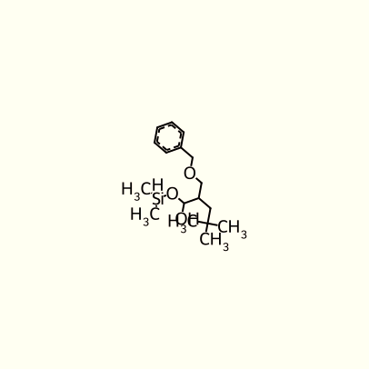 C[SiH](C)OC(O)C(COCc1ccccc1)CC(C)(C)C